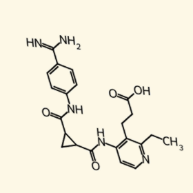 CCc1nccc(NC(=O)C2CC2C(=O)Nc2ccc(C(=N)N)cc2)c1CCC(=O)O